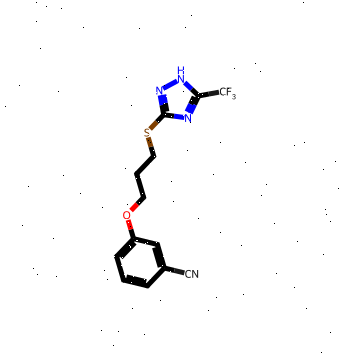 N#Cc1cccc(OCCCSc2n[nH]c(C(F)(F)F)n2)c1